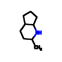 CC1CCC2CCCC2N1